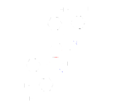 Cc1cc2c(c(-c3ccccc3)c1C)C(OC(=O)/C=C\C(=O)OC1c3c(cc(C)c(C)c3-c3ccccc3)CCN1C)N(C)CC2